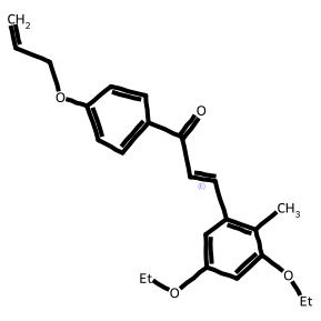 C=CCOc1ccc(C(=O)/C=C/c2cc(OCC)cc(OCC)c2C)cc1